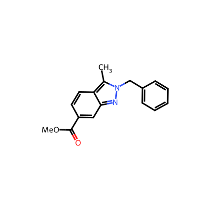 COC(=O)c1ccc2c(C)n(Cc3ccccc3)nc2c1